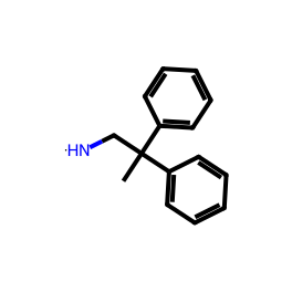 CC(C[NH])(c1ccccc1)c1ccccc1